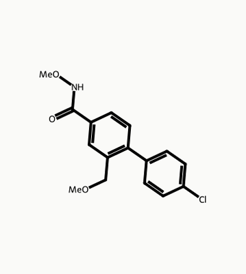 COCc1cc(C(=O)NOC)ccc1-c1ccc(Cl)cc1